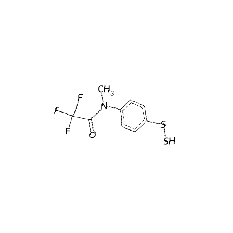 CN(C(=O)C(F)(F)F)c1ccc(SS)cc1